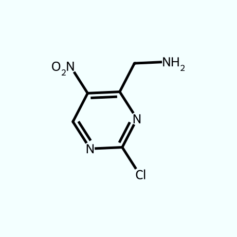 NCc1nc(Cl)ncc1[N+](=O)[O-]